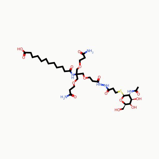 CC(=O)N[C@@H]1[C@@H](O)[C@@H](O)[C@@H](CO)O[C@H]1SCCC(=O)NNC(=O)CCOCC(COCCC(N)=O)(COCCC(N)=O)NC(=O)CCCCCCCCCCC(=O)O